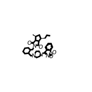 CCC[C@@H]1C[C@H](C)C2C(=O)N(CC3CCCCC3CN3CCN(C4=NS(=O)(=O)c5ccccc54)CC3)C(=O)C21